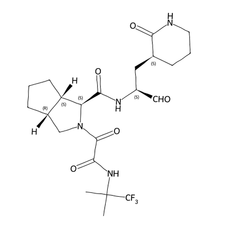 CC(C)(NC(=O)C(=O)N1C[C@@H]2CCC[C@@H]2[C@H]1C(=O)N[C@H](C=O)C[C@@H]1CCCNC1=O)C(F)(F)F